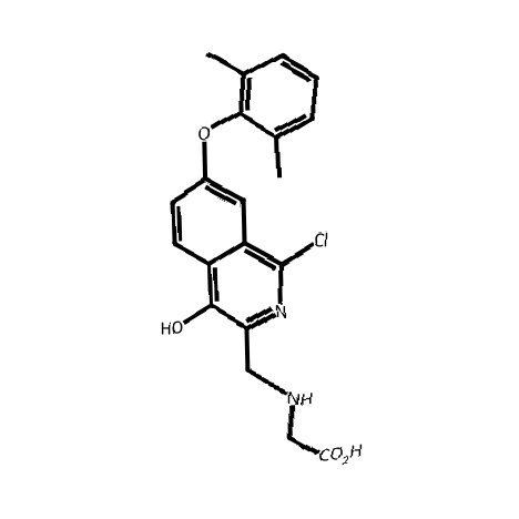 Cc1cccc(C)c1Oc1ccc2c(O)c(CNCC(=O)O)nc(Cl)c2c1